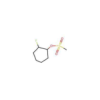 CS(=O)(=O)OC1CCCCC1F